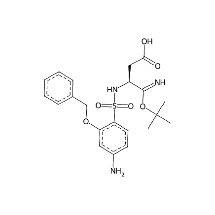 CC(C)(C)OC(=N)[C@H](CC(=O)O)NS(=O)(=O)c1ccc(N)cc1OCc1ccccc1